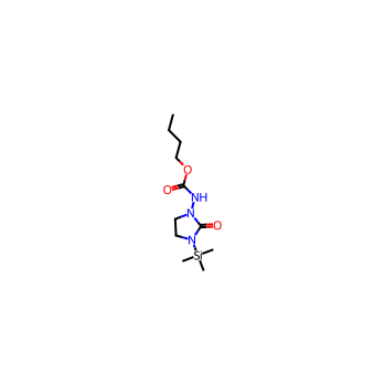 CCCCOC(=O)NN1CCN([Si](C)(C)C)C1=O